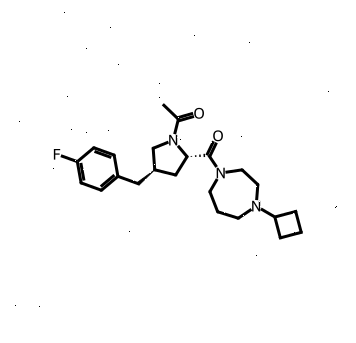 CC(=O)N1C[C@H](Cc2ccc(F)cc2)C[C@H]1C(=O)N1CCCN(C2CCC2)CC1